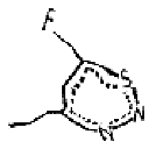 Cc1nnsc1F